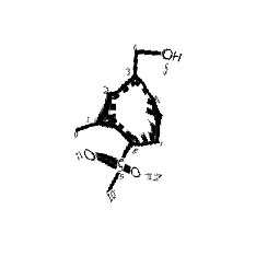 Cc1cc(CO)ccc1S(C)(=O)=O